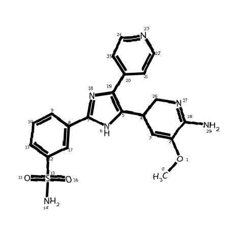 COC1=CC(c2[nH]c(-c3cccc(S(N)(=O)=O)c3)nc2-c2ccncc2)CN=C1N